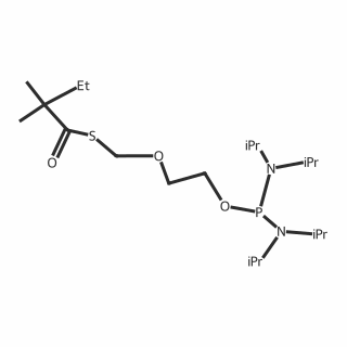 CCC(C)(C)C(=O)SCOCCOP(N(C(C)C)C(C)C)N(C(C)C)C(C)C